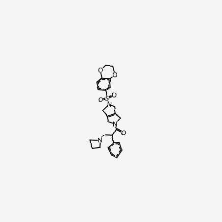 O=C(C(CN1CCC1)c1ccccc1)N1CC2=C(C1)CN(S(=O)(=O)c1ccc3c(c1)OCCO3)C2